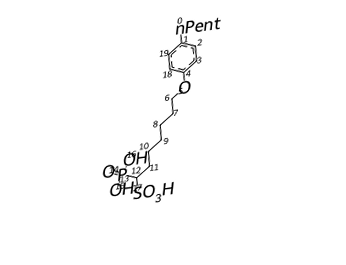 CCCCCc1ccc(OCCCCCCC(P(=O)(O)O)S(=O)(=O)O)cc1